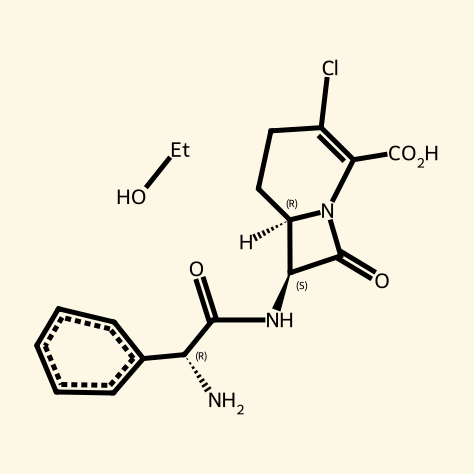 CCO.N[C@@H](C(=O)N[C@@H]1C(=O)N2C(C(=O)O)=C(Cl)CC[C@H]12)c1ccccc1